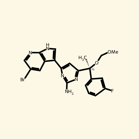 COCO[C@@](C)(c1cccc(F)c1)c1cc(-c2c[nH]c3ncc(Br)cc23)nc(N)n1